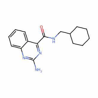 Nc1nc(C(=O)NCC2CCCCC2)c2ccccc2n1